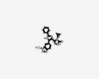 Cn1nnc2ccc(-c3[nH]c(-c4ccccc4)nc3-c3n[nH]c(=O)n3C3CC3)cc21